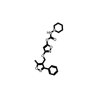 Cc1onc(-c2ccccc2)c1COc1cc(OC(=O)NN2CCCCC2)on1